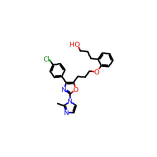 Cc1nccn1-c1nc(-c2ccc(Cl)cc2)c(CCCOc2ccccc2CCCO)o1